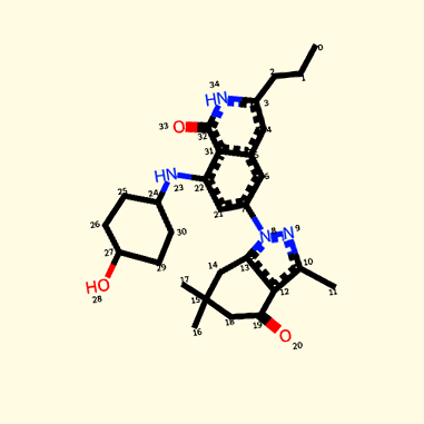 CCCc1cc2cc(-n3nc(C)c4c3CC(C)(C)CC4=O)cc(NC3CCC(O)CC3)c2c(=O)[nH]1